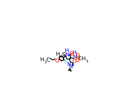 CCCCOc1ccc(C2(C)CC(c3ccn(C4CC4)n3)=C(C(=O)NS(C)(=O)=O)C(=O)N2)c(F)c1